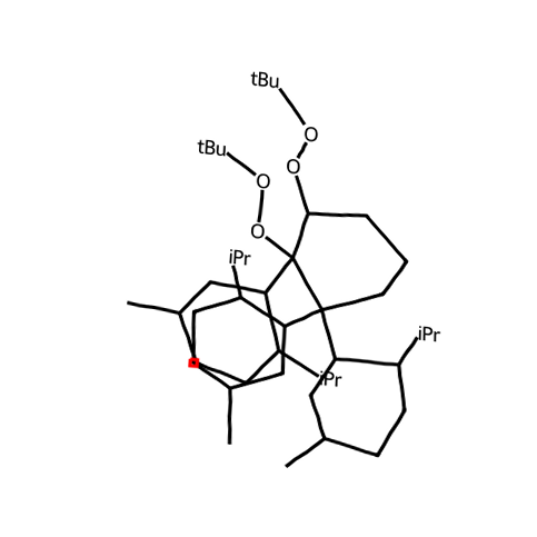 CC1CCC(C(C)C)C(C2(C3CC(C)CCC3C(C)C)CCCC(OOC(C)(C)C)C2(OOC(C)(C)C)C2CC(C)CCC2C(C)C)C1